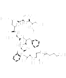 CC(=O)CNC(CS)C(=O)N[C@@H](CC(=O)O)C(=O)NC(CCC(=O)O)C(=O)N[C@@H](C)C(=O)NC(Cc1ccccc1)C(=O)N[C@@H](Cc1ccccc1)C(=O)NC(C(=O)N[C@@H](CC(C)C)C(=O)N[C@H](C=O)CCCCN)C(C)C